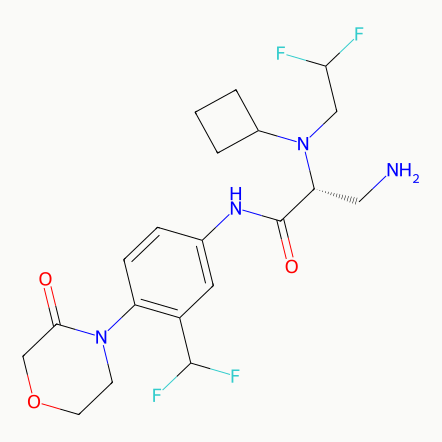 NC[C@H](C(=O)Nc1ccc(N2CCOCC2=O)c(C(F)F)c1)N(CC(F)F)C1CCC1